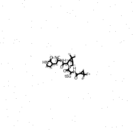 CC(C)(C)C(NC(=O)C1CC1(F)F)C(=O)N1CC2C(C1C(=O)NC(C#N)CC1CCNC1=O)C2(C)C